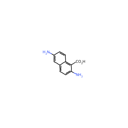 Nc1ccc2c(C(=O)O)c(N)ccc2c1